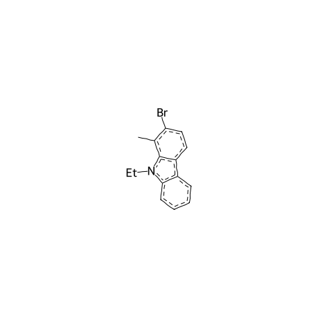 CCn1c2ccccc2c2ccc(Br)c(C)c21